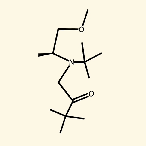 COC[C@H](C)N(CC(=O)C(C)(C)C)C(C)(C)C